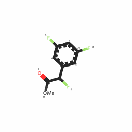 COC(=O)C(F)c1cc(F)cc(F)c1